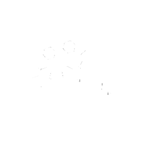 C=C/C1=C(CNCC(C)CCC(=C)C(C)C)/N=C\C(=C)c2cccc(-c3cccc(C(/C=N\CN4CCCC(C)C4)=N/C(=C)CC)c3C)c2C1